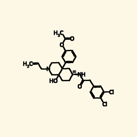 C=CCN1CCC2(c3cccc(OC(C)=O)c3)C[C@@H](NC(=O)Cc3ccc(Cl)c(Cl)c3)CCC2(O)C1